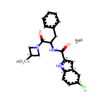 O=C(NC(Cc1ccccc1)C(=O)N1CC(C(=O)O)C1)c1cc2cc(Cl)ccc2[nH]1.[NaH]